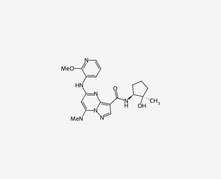 CNc1cc(Nc2cccnc2OC)nc2c(C(=O)N[C@H]3CCC[C@@]3(C)O)cnn12